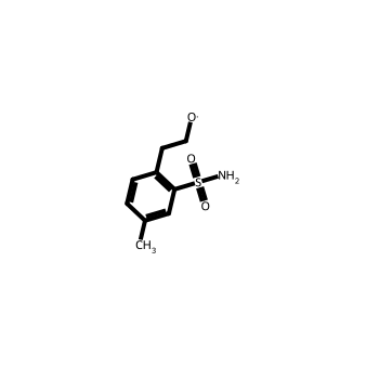 Cc1ccc(CC[O])c(S(N)(=O)=O)c1